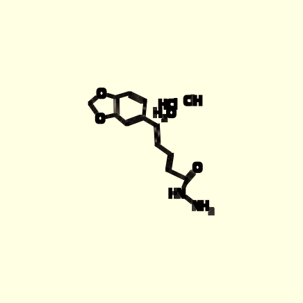 Cl.Cl.NNC(=O)C=CC=Cc1ccc2c(c1)OCO2.O